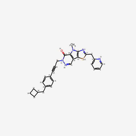 Cn1c2nc(Cc3ccccn3)sc2c2cnn(CC#Cc3ccc(CC4CCC4)cc3)c(=O)c21